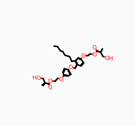 C=C(CO)C(=O)OCCOc1ccc(OCc2ccc(OCCOC(=O)C(C)CO)cc2CCCCCCC)cc1